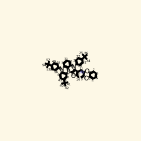 C=C1Oc2ccccc2O/C1=C/c1c(C)oc2c1N(c1ccc(C(C)(C)C)cc1)c1cccc3c1B2c1cc(C(C)(C)C)ccc1N3c1ccc(C(C)(C)C)cc1